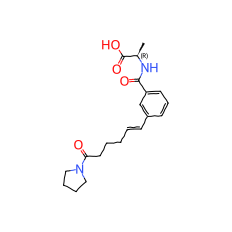 C[C@@H](NC(=O)c1cccc(C=CCCCC(=O)N2CCCC2)c1)C(=O)O